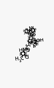 Cc1ccc(NC(=O)CCN2CC3CN(S(=O)(=O)c4cccnc4N4CCCC4)CC3C2)cc1Cl.O=C(O)C(F)(F)F